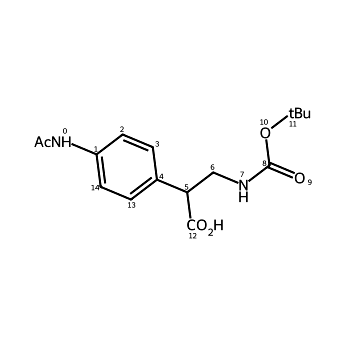 CC(=O)Nc1ccc(C(CNC(=O)OC(C)(C)C)C(=O)O)cc1